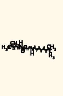 CC(C)CCCCCCNCCOC(=O)NCCCC(C)C